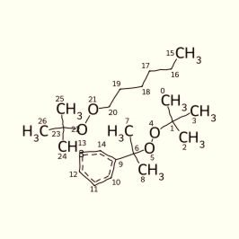 CC(C)(C)OOC(C)(C)c1ccccc1.CCCCCCOOC(C)(C)C